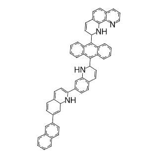 C1=CC2=CC=C(c3ccc4c(c3)NC(c3c5ccccc5c(C5C=Cc6ccc7cccnc7c6N5)c5ccccc35)C=C4)NC2C=C1c1ccc2ccccc2c1